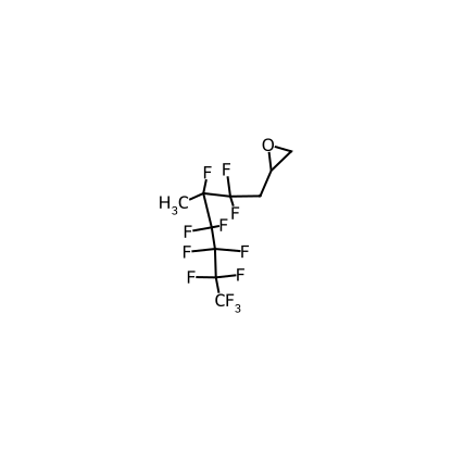 CC(F)(C(F)(F)CC1CO1)C(F)(F)C(F)(F)C(F)(F)C(F)(F)F